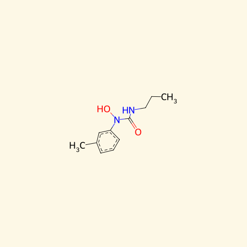 CCCNC(=O)N(O)c1cccc(C)c1